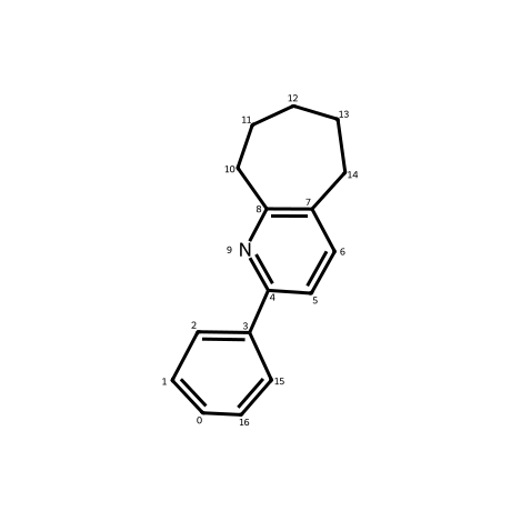 c1ccc(-c2ccc3c(n2)CCCCC3)cc1